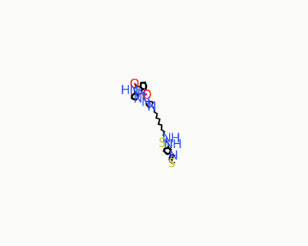 O=C1Nc2cccnc2N(C(=O)CN2CCN(CCCCCCCCCCNC(=S)Nc3cccc(N=C=S)c3)CC2)c2ccccc21